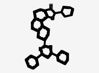 C1=CCC(C2Nc3ccc4ccc5cc(-c6nc(-c7ccccc7)cc(-c7ccccc7)n6)ccc5c4c3O2)C=C1